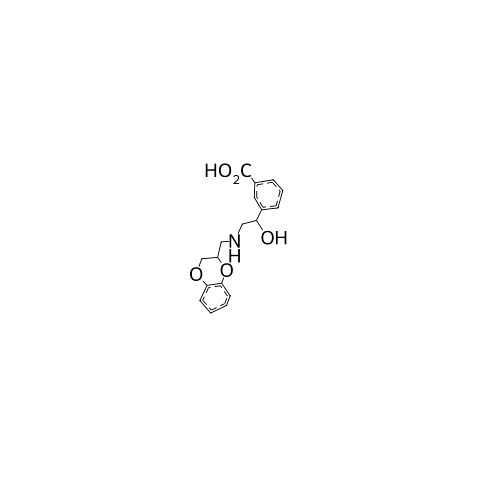 O=C(O)c1cccc(C(O)CNCC2COc3ccccc3O2)c1